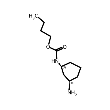 CCCCOC(=O)N[C@H]1CCC[C@@H](N)C1